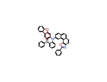 c1ccc(-c2nc3ccc4ccc5ccc(N(c6ccc7c(c6)oc6ccccc67)c6ccccc6[SiH](c6ccccc6)c6ccccc6)cc5c4c3o2)cc1